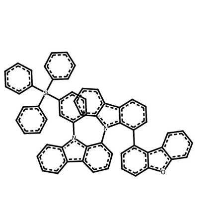 c1ccc([Si](c2ccccc2)(c2ccccc2)c2cccc(-n3c4ccccc4c4cccc(-n5c6ccccc6c6cccc(-c7cccc8oc9ccccc9c78)c65)c43)c2)cc1